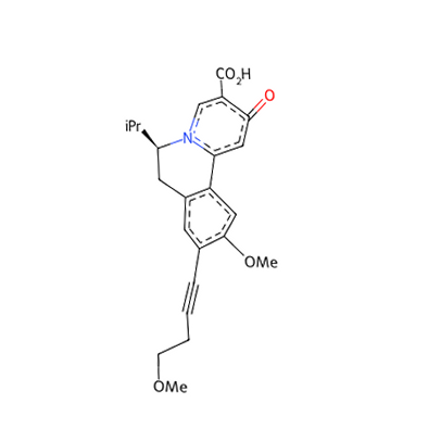 COCCC#Cc1cc2c(cc1OC)-c1cc(=O)c(C(=O)O)cn1[C@H](C(C)C)C2